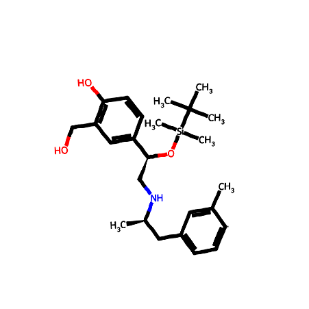 Cc1[c]ccc(C[C@@H](C)NC[C@H](O[Si](C)(C)C(C)(C)C)c2ccc(O)c(CO)c2)c1